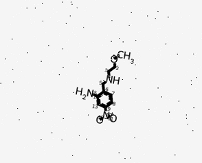 COCCNCc1ccc([N+](=O)[O-])cc1N